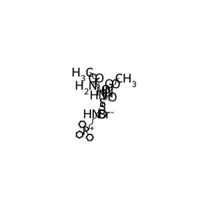 CCOC(=O)CNC(=O)[C@H](CSSCC(=O)NCCCCC[P+](c1ccccc1)(c1ccccc1)c1ccccc1)NC(=O)CC[C@H](N)C(=O)OCC.[Br-]